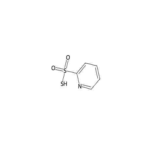 O=S(=O)(S)c1ccccn1